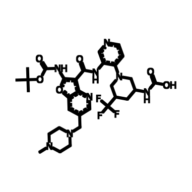 CN1CCN(Cc2cnc3c(C(=O)Nc4cnccc4N4CC(NC(=O)O)CC(C(F)(F)F)C4)c(NC(=O)OC(C)(C)C)oc3c2)CC1